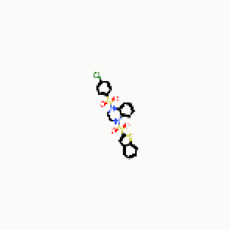 O=S(=O)(c1ccc(Cl)cc1)N1CCN(S(=O)(=O)c2cc3ccccc3s2)c2ccccc21